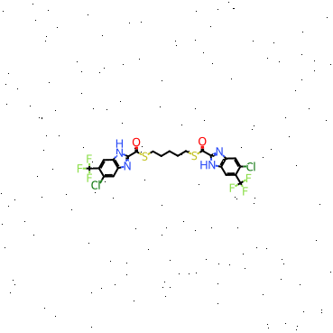 O=C(SCCCCCSC(=O)c1nc2cc(Cl)c(C(F)(F)F)cc2[nH]1)c1nc2cc(Cl)c(C(F)(F)F)cc2[nH]1